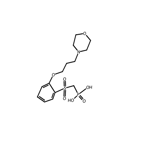 O=P(O)(O)CS(=O)(=O)c1ccccc1OCCCN1CCOCC1